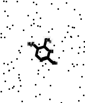 CCC(C)C1=NCC(C)C(C)N1